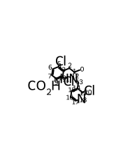 CC(Cc1c(Cl)ccc(C(=O)O)c1Cl)NCc1cccnc1Cl